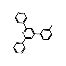 Cc1cccc(-c2cc(-c3ccccc3)nc(-c3ccccc3)c2)c1